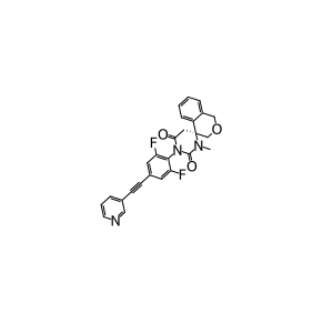 CN1C(=O)N(c2c(F)cc(C#Cc3cccnc3)cc2F)C(=O)C[C@]12COCc1ccccc12